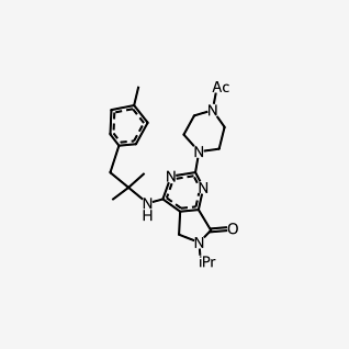 CC(=O)N1CCN(c2nc(NC(C)(C)Cc3ccc(C)cc3)c3c(n2)C(=O)N(C(C)C)C3)CC1